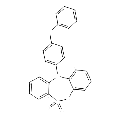 O=S1(=O)Oc2ccccc2[S+](c2ccc(Oc3ccccc3)cc2)c2ccccc21